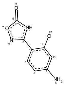 Nc1ccc(-c2noc(=O)[nH]2)c(Cl)c1